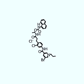 CCC[n+]1cc(Br)cc(C(=O)Nc2ccc(CCC(=O)NC(C)OC(=O)Nc3cccc4ccccc34)c(Cl)c2)c1.[Cl-]